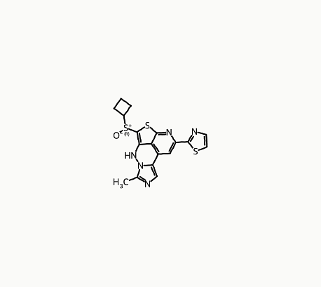 Cc1ncc2c3cc(-c4nccs4)nc4sc([S@@+]([O-])C5CCC5)c([nH]n12)c43